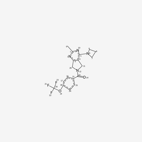 Cc1nc2c(c(N3CCC3)n1)CN(C(=O)c1ccc(OC(F)(F)F)cc1)C2